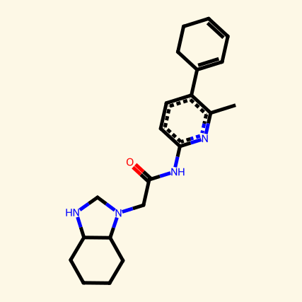 Cc1nc(NC(=O)CN2CNC3CCCCC32)ccc1C1=CC=CCC1